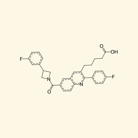 O=C(O)CCCCc1cc2cc(C(=O)N3CC(c4cccc(F)c4)C3)ccc2nc1-c1ccc(F)cc1